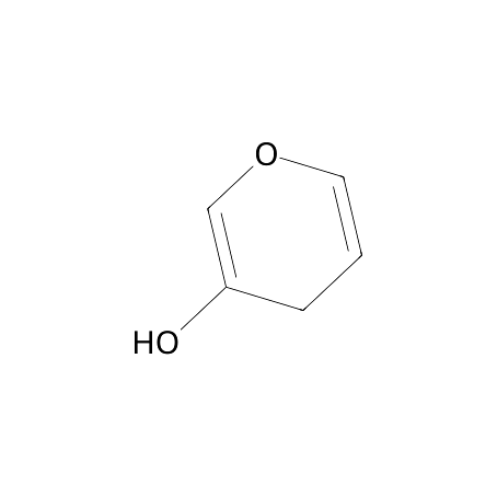 OC1=COC=CC1